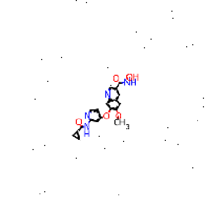 COc1cc2cc(C(=O)NO)cnc2cc1Oc1ccnc(NC(=O)C2CC2)c1